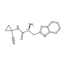 N#CC1(NC(=O)[C@@H](N)Cc2nc3ccccc3s2)CC1